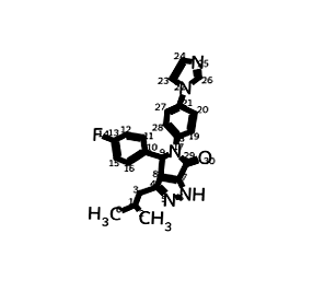 CC(C)Cc1n[nH]c2c1C(c1ccc(F)cc1)N(c1ccc(-n3ccnc3)cc1)C2=O